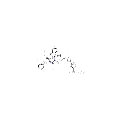 COC(=O)c1cc([C@@H]2CCN(CCNC(=O)C(=N\O)/C(C)=C(/OCc3ccccc3)C(OCc3ccccc3)=C(C)C)C2)no1